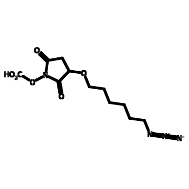 [N-]=[N+]=NCCCCCCOC1CC(=O)N(OC(=O)O)C1=O